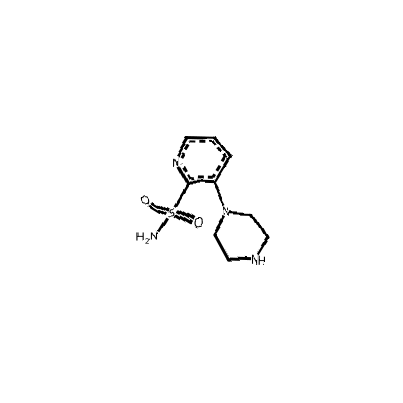 NS(=O)(=O)c1ncccc1N1CCNCC1